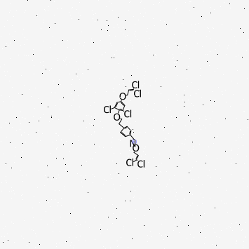 ClC(Cl)=CCO/N=C/c1ccc(CCOc2c(Cl)cc(OCC=C(Cl)Cl)cc2Cl)cc1